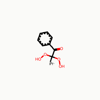 C[C](C)C(OO)(OO)C(=O)c1ccccc1